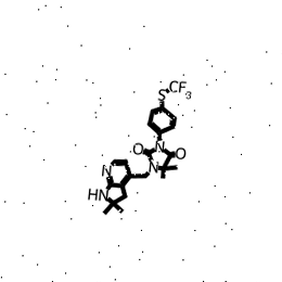 CC1(C)Cc2c(CN3C(=O)N(c4ccc(SC(F)(F)F)cc4)C(=O)C3(C)C)ccnc2N1